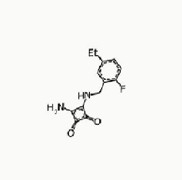 CCc1ccc(F)c(CNc2c(N)c(=O)c2=O)c1